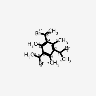 Cc1c(C(C)Br)c(C)c(C(C)Br)c(C)c1C(C)Br